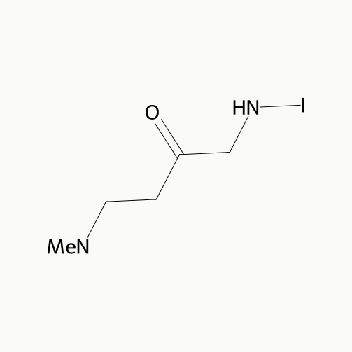 CNCCC(=O)CNI